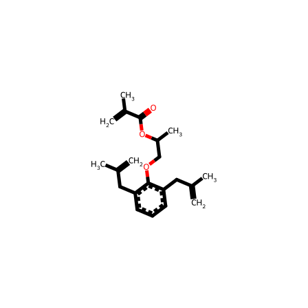 C=C(C)Cc1cccc(CC(=C)C)c1OCC(C)OC(=O)C(=C)C